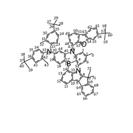 Cc1cc2c3c(c1)-n1c4c(c5cccc(c51)B3c1ccc(N(c3ccc(C(C)(C)C)cc3C)c3ccc(C(C)(C)C)cc3C)cc1N2c1cccc2c1oc1cc(C(C)(C)C)ccc12)-c1ccccc1C4(C)C